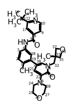 Cc1ccc(NC(=O)c2ccnc(C(C)(C)C)c2)cc1-c1cc(N2CCOCC2)c(=O)n(CC2(C)COC2)c1